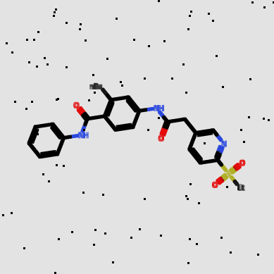 CCCCc1cc(NC(=O)Cc2ccc(S(=O)(=O)CC)nc2)ccc1C(=O)Nc1ccccc1